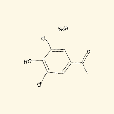 CC(=O)c1cc(Cl)c(O)c(Cl)c1.[NaH]